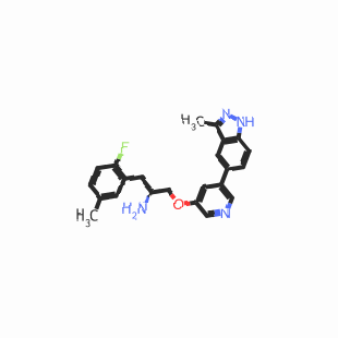 Cc1ccc(F)c(C[C@H](N)COc2cncc(-c3ccc4[nH]nc(C)c4c3)c2)c1